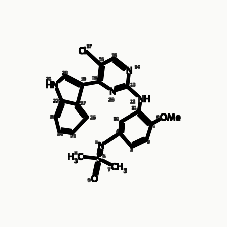 COc1ccc(N=S(C)(C)=O)cc1Nc1ncc(Cl)c(-c2c[nH]c3ccccc23)n1